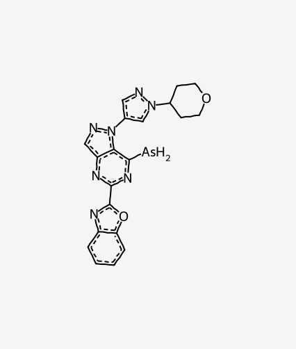 [AsH2]c1nc(-c2nc3ccccc3o2)nc2cnn(-c3cnn(C4CCOCC4)c3)c12